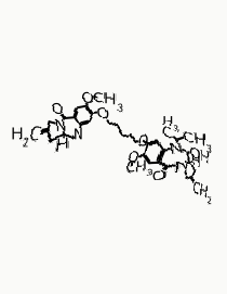 C=C1C[C@H]2C=Nc3cc(OCCCCCOc4cc5c(cc4OC)C(=O)N4CC(=C)C[C@H]4C(O)N5C(C)C)c(OC)cc3C(=O)N2C1